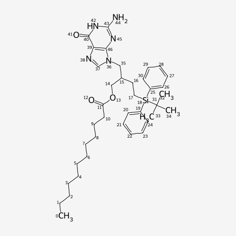 CCCCCCCCCCCC(=O)OCC(CC[Si](c1ccccc1)(c1ccccc1)C(C)(C)C)Cn1cnc2c(=O)[nH]c(N)nc21